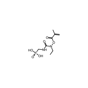 C=C(C)C(=O)ON(CC)C(=O)NCP(=O)(O)O